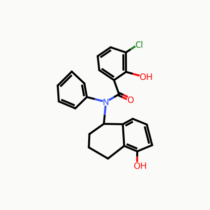 O=C(c1cccc(Cl)c1O)N(c1ccccc1)C1CCCc2c(O)cccc21